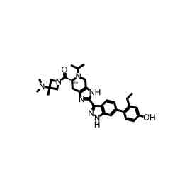 CCc1cc(O)ccc1-c1ccc2c(-c3nc4c([nH]3)CN(C(C)C)[C@H](C(=O)N3CC(C)(N(C)C)C3)C4)n[nH]c2c1